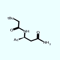 CC(=O)[C@H](CC(N)=O)NC(=O)CC(C)(C)C